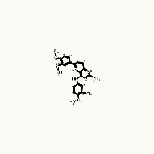 COc1ccc(Nc2nc(N)nc3ccc(-c4ccc(OC)c(OC)c4)nc23)cc1Cl